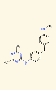 CNc1ccc(Cc2ccc(Nc3nc(C)nc(C)n3)cc2)cc1